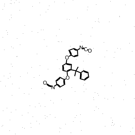 CC(C)(c1ccccc1)c1cc(Oc2ccc(N=C=O)cc2)ccc1Oc1ccc(N=C=O)cc1